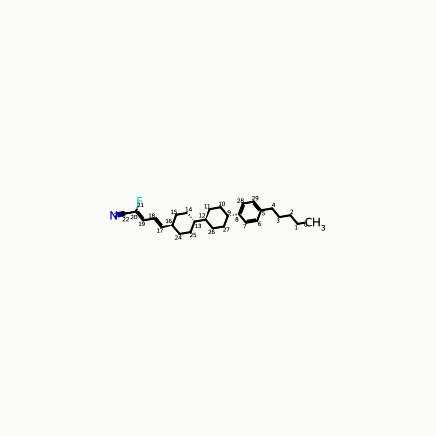 CCCCCc1ccc([C@H]2CC[C@H]([C@H]3CC[C@H](C=CC=C(F)C#N)CC3)CC2)cc1